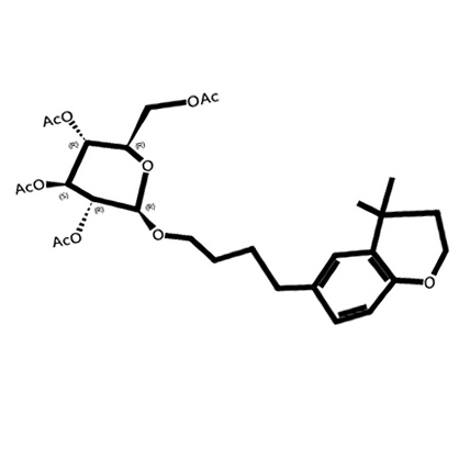 CC(=O)OC[C@H]1O[C@@H](OCCCCc2ccc3c(c2)C(C)(C)CCO3)[C@H](OC(C)=O)[C@@H](OC(C)=O)[C@@H]1OC(C)=O